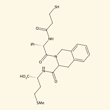 CSCC[C@@H](NC(=O)C1Cc2ccccc2CN1C(=O)[C@@H](NC(=O)CCS)C(C)C)C(=O)O